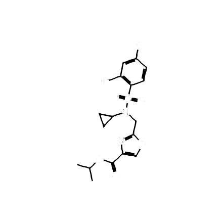 CC(C)OC(=O)c1coc(CN(C2CC2)S(=O)(=O)c2ccc(Cl)cc2Cl)n1